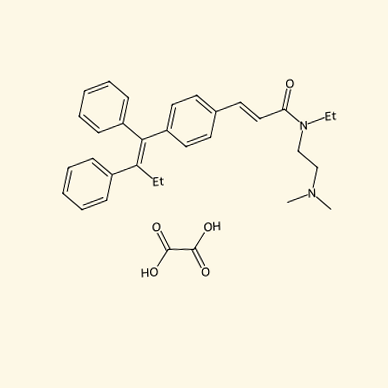 CCC(=C(c1ccccc1)c1ccc(C=CC(=O)N(CC)CCN(C)C)cc1)c1ccccc1.O=C(O)C(=O)O